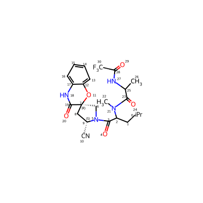 CC(C)CC(C(=O)N1C[C@@]2(C[C@H]1C#N)Oc1ccccc1NC2=O)N(C)C(=O)C(C)NC(=O)C(F)(F)F